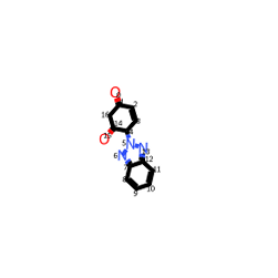 O=C1C=CC(n2nc3ccccc3n2)C(=O)C1